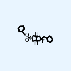 O=C(OCc1ccccc1)N1C[C@@H]2C[C@](F)(Cc3ccccc3)C[C@@H]2C1